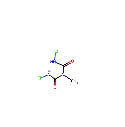 CN(C(=O)NCl)C(=O)NCl